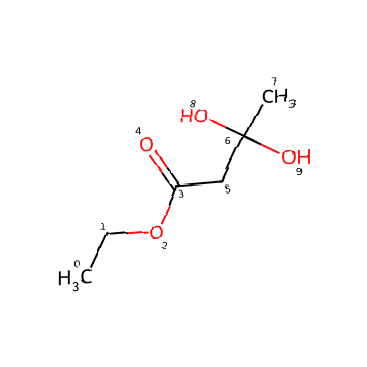 CCOC(=O)CC(C)(O)O